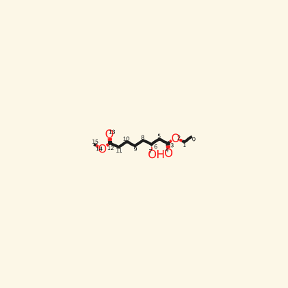 CCOC(=O)C[C@H](O)CCCCC(=O)OC